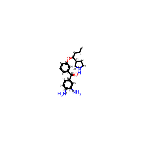 CCCC(Oc1cccc(C(=O)c2ccc(N)c(N)c2)c1)C1CCNC1